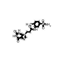 Cc1ccc(S(N)(=O)=O)cc1NC(=O)CCn1cnc2c(=O)[nH]c(=O)[nH]c21